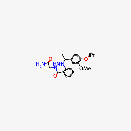 COc1cc(C(C)N2NN(CC(N)=O)C(=O)c3ccccc32)ccc1OC(C)C